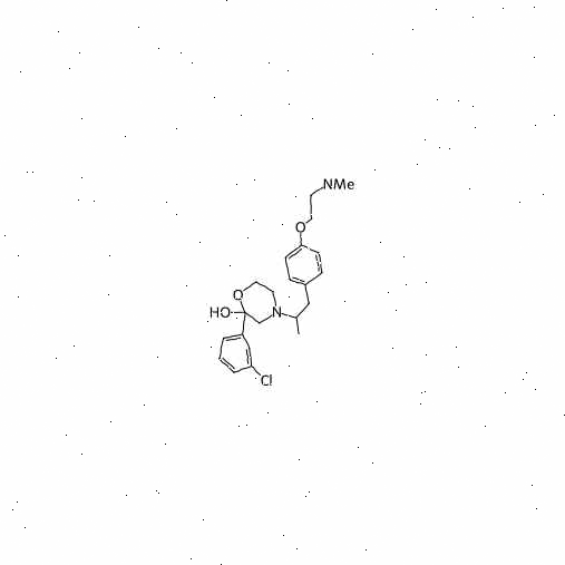 CNCCOc1ccc(CC(C)N2CCOC(O)(c3cccc(Cl)c3)C2)cc1